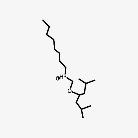 CCCCCCCC[PH](=O)COC(CC(C)C)CC(C)C